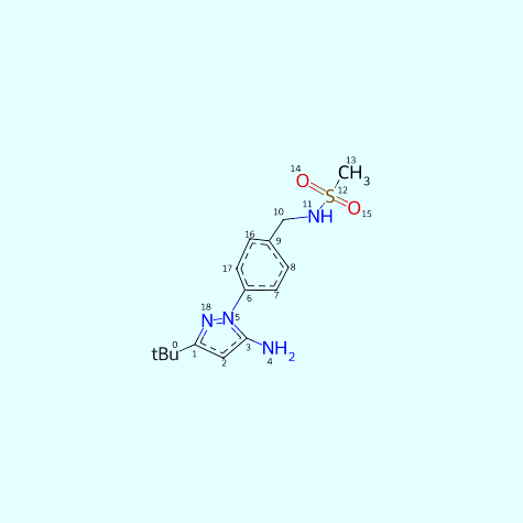 CC(C)(C)c1cc(N)n(-c2ccc(CNS(C)(=O)=O)cc2)n1